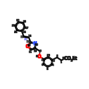 CCOC(=O)CCc1cccc(OCc2coc(/C=C/c3ccccc3)n2)c1